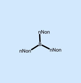 CCCCCCCCCB(CCCCCCCCC)CCCCCCCCC